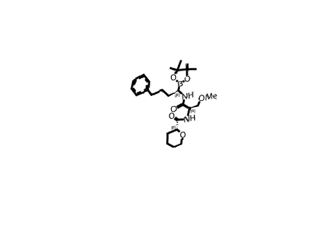 COC[C@@H](NC(=O)[C@H]1CCCCO1)C(=O)N[C@@H](CCCc1ccccc1)B1OC(C)(C)C(C)(C)O1